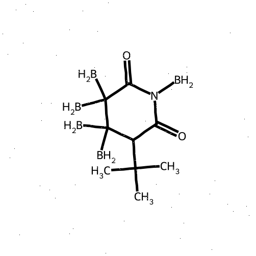 BN1C(=O)C(C(C)(C)C)C(B)(B)C(B)(B)C1=O